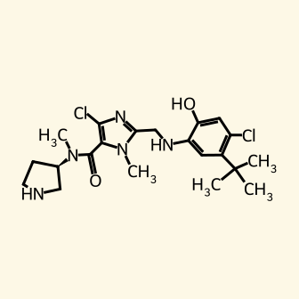 CN(C(=O)c1c(Cl)nc(CNc2cc(C(C)(C)C)c(Cl)cc2O)n1C)[C@@H]1CCNC1